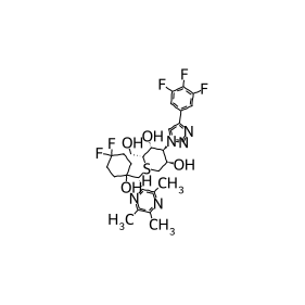 Cc1nc(C)c([C@@H]([SH]2C[C@H](O)[C@H](n3cc(-c4cc(F)c(F)c(F)c4)nn3)[C@@H](O)[C@H]2CO)C2(O)CCC(F)(F)CC2)nc1C